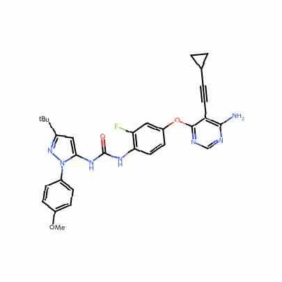 COc1ccc(-n2nc(C(C)(C)C)cc2NC(=O)Nc2ccc(Oc3ncnc(N)c3C#CC3CC3)cc2F)cc1